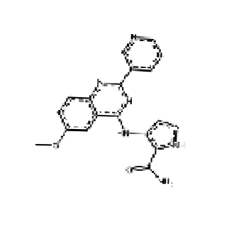 COc1ccc2nc(-c3cccnc3)nc(Nc3cn[nH]c3C(N)=O)c2c1